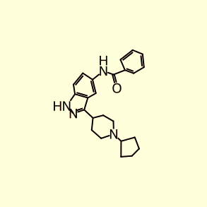 O=C(Nc1ccc2[nH]nc(C3CCN(C4CCCC4)CC3)c2c1)c1ccccc1